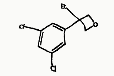 CCC1(c2cc(Cl)cc(Cl)c2)COC1